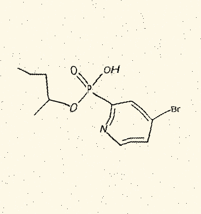 CCC(C)OP(=O)(O)c1cc(Br)ccn1